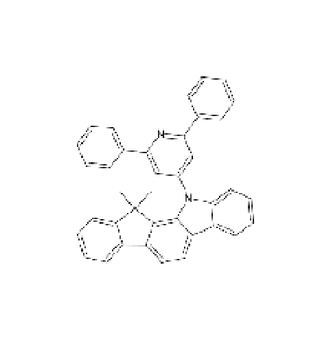 CC1(C)c2ccccc2-c2ccc3c4ccccc4n(-c4cc(-c5ccccc5)nc(-c5ccccc5)c4)c3c21